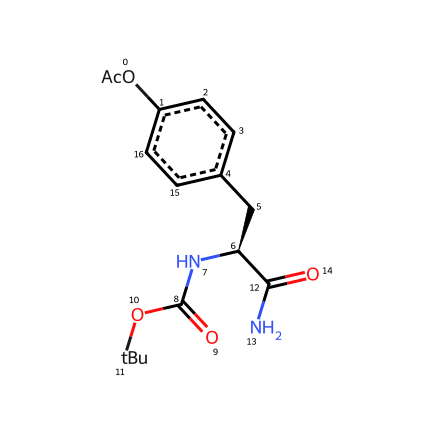 CC(=O)Oc1ccc(C[C@H](NC(=O)OC(C)(C)C)C(N)=O)cc1